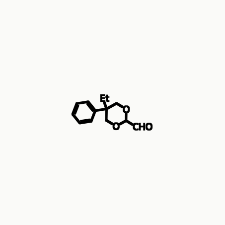 CCC1(c2ccccc2)COC(C=O)OC1